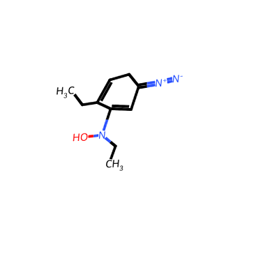 CCC1=CCC(=[N+]=[N-])C=C1N(O)CC